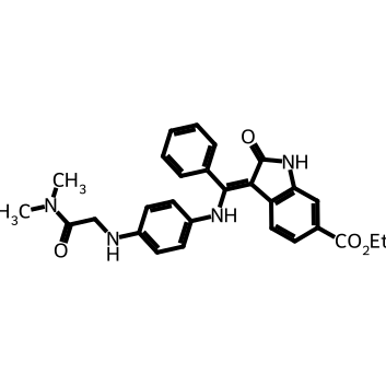 CCOC(=O)c1ccc2c(c1)NC(=O)C2=C(Nc1ccc(NCC(=O)N(C)C)cc1)c1ccccc1